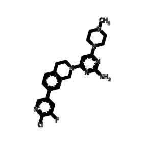 CN1CCN(c2cc(N3CCc4ccc(-c5cnc(Cl)c(F)c5)cc4C3)nc(N)n2)CC1